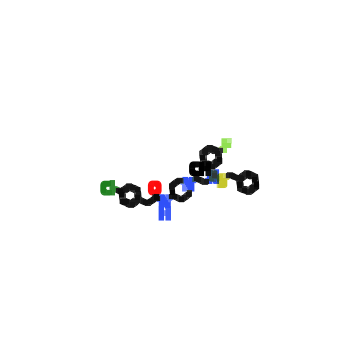 C[C@H](CN(SCc1ccccc1)c1cccc(F)c1)N1CCC(NC(=O)Cc2ccc(Cl)cc2)CC1